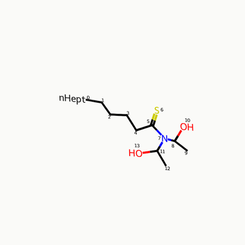 CCCCCCCCCCCC(=S)N(C(C)O)C(C)O